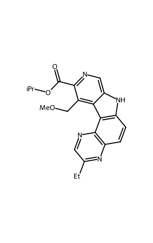 CCc1cnc2c(ccc3[nH]c4cnc(C(=O)OC(C)C)c(COC)c4c32)n1